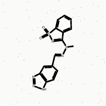 CN(/N=C/c1ccc2[nH]nnc2c1)C1=NS(=O)(=O)c2ccccc21